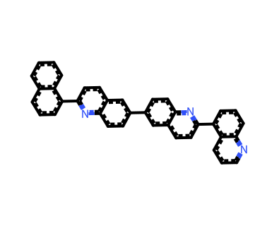 c1ccc2c(-c3ccc4cc(-c5ccc6nc(-c7cccc8ncccc78)ccc6c5)ccc4n3)cccc2c1